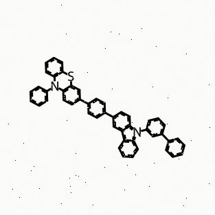 c1ccc(-c2cccc(-n3c4ccccc4c4cc(-c5ccc(-c6ccc7c(c6)Sc6ccccc6N7c6ccccc6)cc5)ccc43)c2)cc1